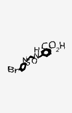 O=C(Cc1nc2cc(Br)ccc2s1)NCc1cccc(C(=O)O)c1